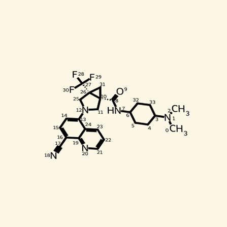 CN(C)C1CCC(NC(=O)[C@]23CN(c4ccc(C#N)c5ncccc45)C[C@@]2(C(F)(F)F)C3)CC1